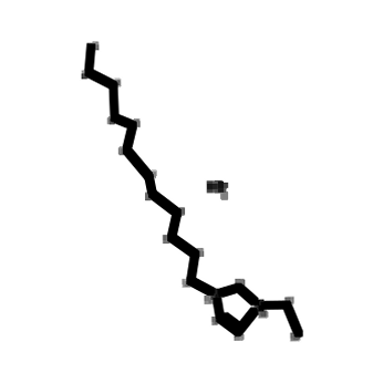 Br.CCCCCCCCCCCCN1C=CN(CC)C1